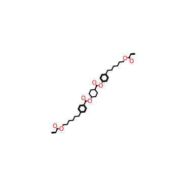 C=CC(=O)OCCCCCCc1ccc(OC(=O)C2CCC(OC(=O)c3ccc(CCCCCCOC(=O)C=C)cc3)CC2)cc1